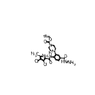 Cc1[nH]c(C(=O)Nc2ccc(C(=O)NN)cc2N2CCN(C(=O)OC(C)(C)C)CC2)c(Cl)c1Cl